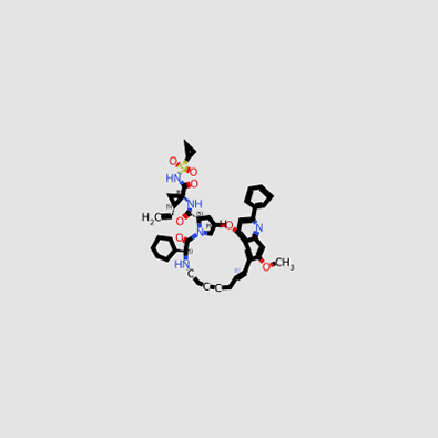 C=C[C@@H]1C[C@]1(NC(=O)[C@@H]1C[C@@H]2CN1C(=O)[C@H](C1CCCCC1)NCCCCC/C=C/c1cc3c(cc(-c4ccccc4)nc3cc1OC)O2)C(=O)NS(=O)(=O)C1CC1